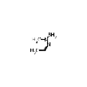 BN(C)/N=C\C